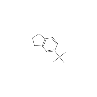 CC(C)(C)c1ccc2c(c1)C[CH]C2